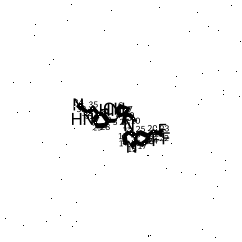 Cc1c(C[C@H]2NCCC23CCN(c2ccnc4ccc(CC(F)(F)F)cc24)C3)ccc2[nH]c(C#N)cc12